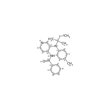 CCC(C)(C)N(c1ccc(C)cc1)c1cnccc1NC(=O)c1ccccc1